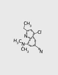 CCc1cc(Cl)c2cc(C#N)cc(N(C)C)c2n1